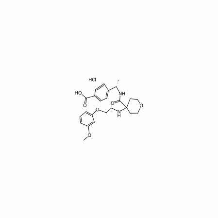 COc1cccc(OCCNC2(C(=O)N[C@@H](C)c3ccc(C(=O)O)cc3)CCOCC2)c1.Cl